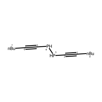 CCCCC#CPPC#CCCCC